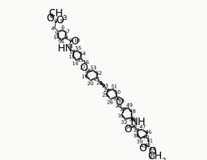 COC(=O)Cc1ccc(C(=O)Nc2ccc(COc3ccc(C#Cc4ccc(OCc5ccc(NC(=O)c6ccc(CC(=O)OC)cc6)cc5)cc4)cc3)cc2)cc1